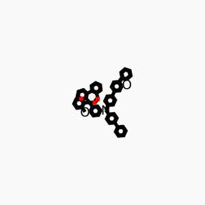 c1ccc(-c2ccc(N(c3ccc(-c4ccc5c(c4)oc4ccccc45)cc3)c3ccc4c(c3)C3(c5ccccc5O4)c4ccccc4-c4ccccc4-c4ccccc43)cc2)cc1